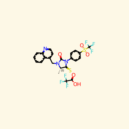 C[C@H]1C(=S)N(c2ccc(S(=O)(=O)C(F)(F)F)cc2)C(=O)N1Cc1ccnc2ccccc12.O=C(O)C(F)(F)F